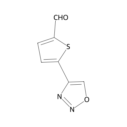 O=Cc1ccc(-c2conn2)s1